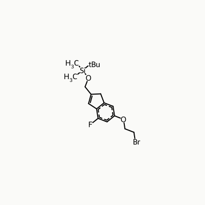 CC(C)(C)[Si](C)(C)OCC1=Cc2c(F)cc(OCCBr)cc2C1